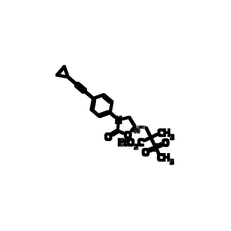 CCOC(=O)C(C)(C[C@H]1CN(c2ccc(C#CC3CC3)cc2)C(=O)O1)S(C)(=O)=O